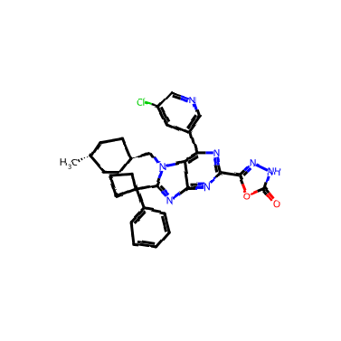 C[C@H]1CC[C@H](Cn2c(C3(c4ccccc4)CCC3)nc3nc(-c4n[nH]c(=O)o4)nc(-c4cncc(Cl)c4)c32)CC1